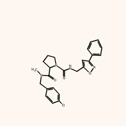 CN(Cc1ccc(Cl)cc1)C(=O)C1CCCN1C(=O)NCc1cc(-c2ccccc2)no1